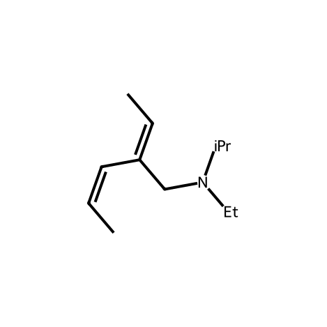 C/C=C\C(=C/C)CN(CC)C(C)C